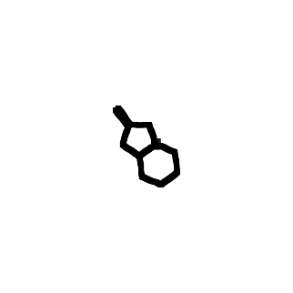 C=C1CC2CCCCN2C1